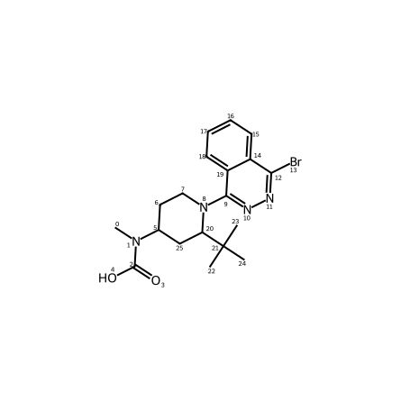 CN(C(=O)O)C1CCN(c2nnc(Br)c3ccccc23)C(C(C)(C)C)C1